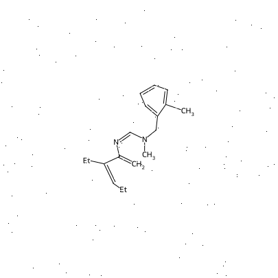 C=C(/N=C\N(C)Cc1ccccc1C)/C(=C\CC)CC